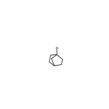 CC(=O)C12CCC(CC1)C2